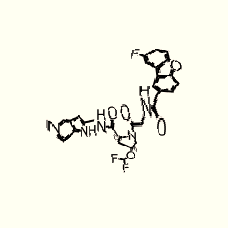 O=C(NCC(=O)N1C[C@H](OC(F)F)C[C@H]1C(=O)NCc1cc2cnccc2[nH]1)c1ccc2oc3ccc(F)cc3c2c1